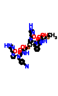 CSCC[C@H](NC(=O)CN(Cc1ccc(C#N)cc1)C[C@@H]1CCCN1C(=O)Cc1c[nH]cn1)C(=O)O.CSCC[C@H](NC(=O)CN(Cc1ccccc1C#N)C[C@@H]1CCCN1C(=O)Cc1c[nH]cn1)C(=O)O